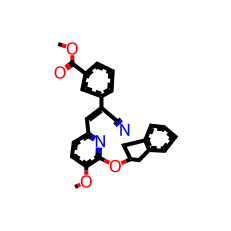 COC(=O)c1cccc(C(C#N)=Cc2ccc(OC)c(OC3Cc4ccccc4C3)n2)c1